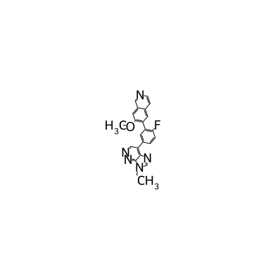 CCn1cnc2c(-c3ccc(F)c(-c4cc5ccncc5cc4OC)c3)cnnc21